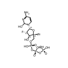 CC(C)[C@]1(COP(=O)(O)OP(=O)(O)OP(=O)(O)O)O[C@@H](N2C=CC(N)=NC2O)[C@@H](F)[C@@H]1O